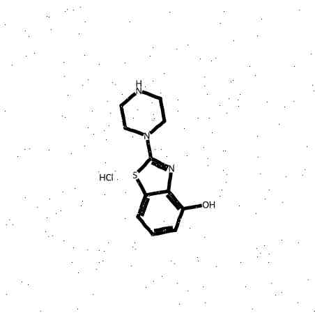 Cl.Oc1cccc2sc(N3CCNCC3)nc12